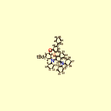 CC(C)(C)c1cc2c3c(c1)N(c1ccccc1)c1cc(N(c4ccccc4)c4ccccc4)c4ccccc4c1B3c1ccc(-c3ccccc3)cc1O2